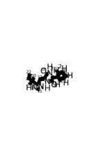 [2H]c1c([2H])c([2H])c(C2NC(=O)C(=Cc3nc[nH]c3C(C)(C)C=C)NC2=O)c([2H])c1[2H]